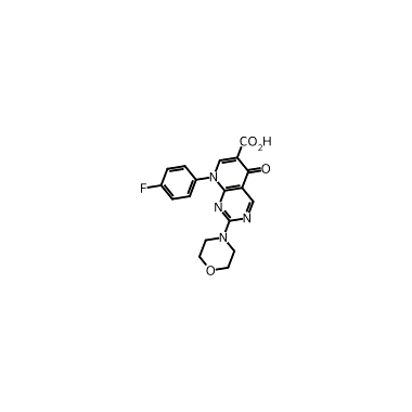 O=C(O)c1cn(-c2ccc(F)cc2)c2nc(N3CCOCC3)ncc2c1=O